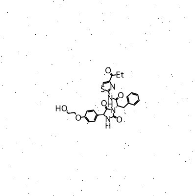 CCC(=O)c1csc(NC(=O)[C@H]([C@@H](C)c2ccccc2)N2C(=O)N[C@@H](c3ccc(OCCO)cc3)C2=O)n1